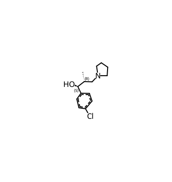 C[C@H](CN1CCCC1)[C@H](O)c1ccc(Cl)cc1